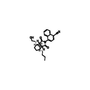 CCCC[C@]12CC[C@](CCO)(O1)[C@@H]1C(=O)N(c3ccc(C#N)c4ccccc34)C(=O)[C@@H]12